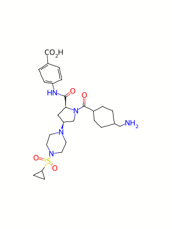 NCC1CCC(C(=O)N2C[C@@H](N3CCN(S(=O)(=O)C4CC4)CC3)C[C@H]2C(=O)Nc2ccc(C(=O)O)cc2)CC1